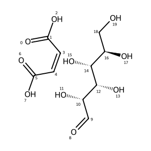 O=C(O)/C=C\C(=O)O.O=C[C@H](O)[C@@H](O)[C@H](O)[C@H](O)CO